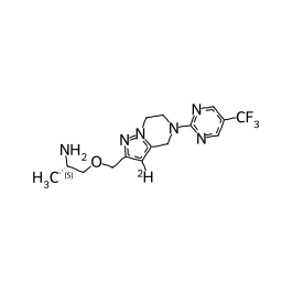 [2H]c1c(COC[C@H](C)N)nn2c1CN(c1ncc(C(F)(F)F)cn1)CC2